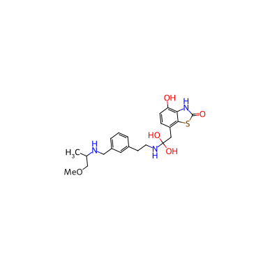 COCC(C)NCc1cccc(CCNC(O)(O)Cc2ccc(O)c3[nH]c(=O)sc23)c1